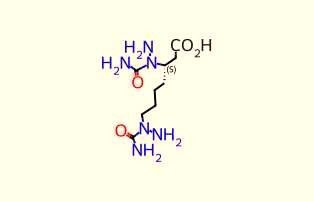 NC(=O)N(N)CCCC[C@@H](CC(=O)O)N(N)C(N)=O